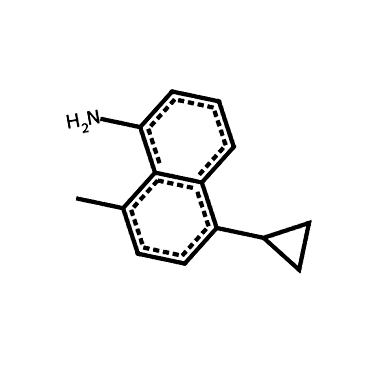 Cc1ccc(C2CC2)c2cccc(N)c12